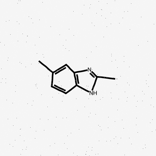 [CH2]c1nc2cc(C)ccc2[nH]1